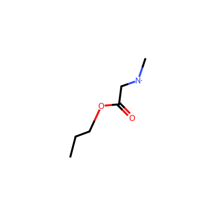 CCCOC(=O)C[N]C